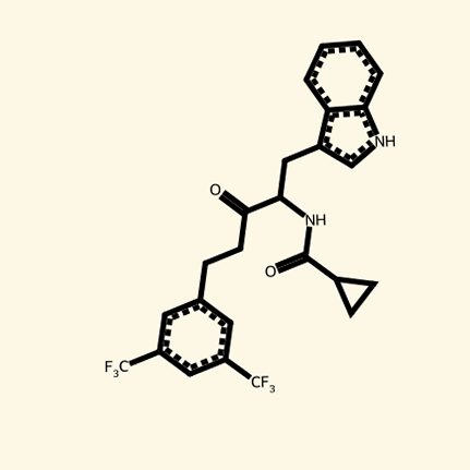 O=C(NC(Cc1c[nH]c2ccccc12)C(=O)CCc1cc(C(F)(F)F)cc(C(F)(F)F)c1)C1CC1